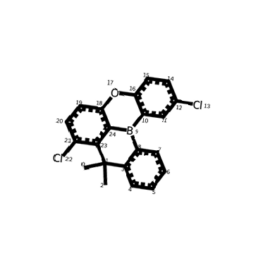 CC1(C)c2ccccc2B2c3cc(Cl)ccc3Oc3ccc(Cl)c1c32